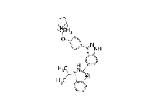 CC(C)[C@H](NC(=O)c1ccc2[nH]nc(-c3ccc(OC4CC5CCC(C4)N5C)cc3)c2c1)c1ccccc1Cl